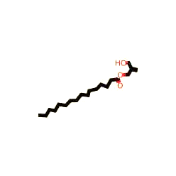 C=C(CO)COC(=O)CCCCCCCCCCCCCCC